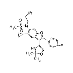 CC(C)CCN(c1cc2oc(-c3ccc(F)cc3)c(C3=NOC(C)(C)N3)c2cc1C1CC1)S(C)(=O)=O